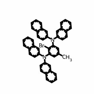 Cc1cc(N(c2ccc3ccccc3c2)c2ccc3ccccc3c2)c(Br)c(N(c2ccc3ccccc3c2)c2ccc3ccccc3c2)c1